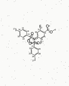 COC(=O)c1cc(F)c(N(S(=O)(=O)c2ccc(I)cc2)S(=O)(=O)c2ccc(I)cc2)cc1F